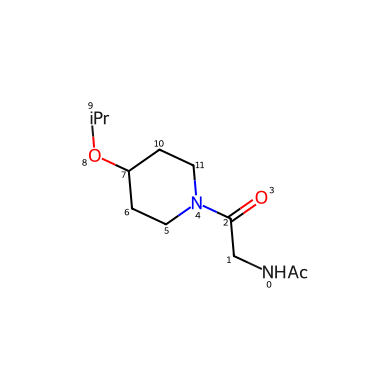 CC(=O)NCC(=O)N1CCC(OC(C)C)CC1